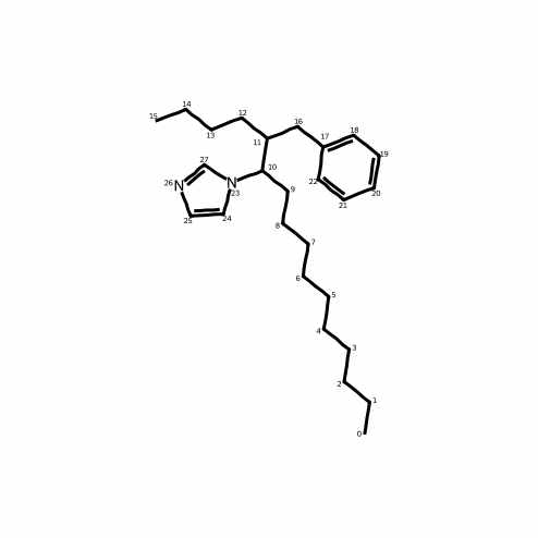 CCCCCCCCCCC(C(CCCC)Cc1ccccc1)n1ccnc1